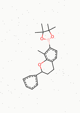 Cc1c(B2OC(C)(C)C(C)(C)O2)ccc2c1OC(c1ccccc1)CC2